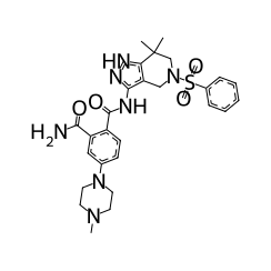 CN1CCN(c2ccc(C(=O)Nc3n[nH]c4c3CN(S(=O)(=O)c3ccccc3)CC4(C)C)c(C(N)=O)c2)CC1